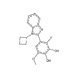 COc1cc(-c2nc3ccccc3n2C2CCC2)c(F)c(O)c1O